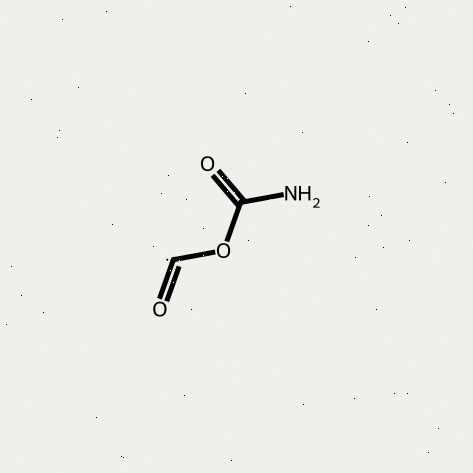 NC(=O)O[C]=O